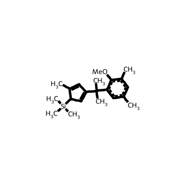 COc1c(C)cc(C)cc1C(C)(C)C1=CC([Si](C)(C)C)C(C)=C1